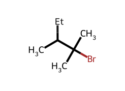 CCC(C)C(C)(C)Br